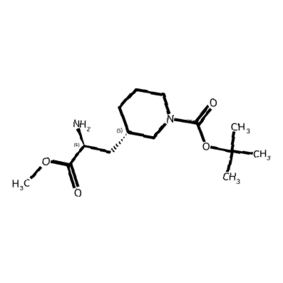 COC(=O)[C@@H](N)C[C@@H]1CCCN(C(=O)OC(C)(C)C)C1